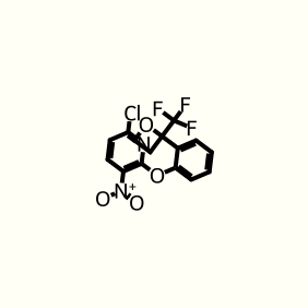 O=[N+]([O-])c1ccc(Cl)nc1Oc1ccccc1C1(C(F)(F)F)CCO1